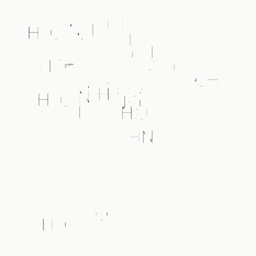 CCOc1ccc(CNC[C@]2(O)C[C@@H](C)O[C@H]3O[C@@H]4[C@@H](O)[C@H](NC)[C@H](O)[C@H](NC)[C@H]4O[C@]32O)cc1